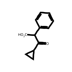 O=C(O)C(C(=O)C1CC1)c1ccccc1